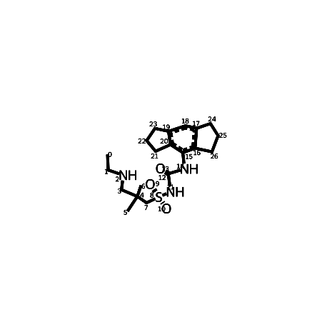 CCNCC(C)(C)CS(=O)(=O)NC(=O)Nc1c2c(cc3c1CCC3)CCC2